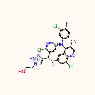 N#Cc1cnc2c(Cl)cc(N[C@H](C3=CN(CCO)NN3)c3cccnc3Cl)cc2c1Nc1ccc(F)c(Cl)c1